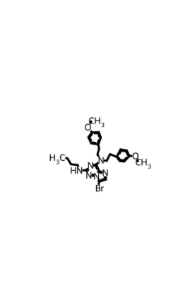 CCCCNc1nc(N(CCc2ccc(OC)cc2)CCc2ccc(OC)cc2)c2ncc(Br)n2n1